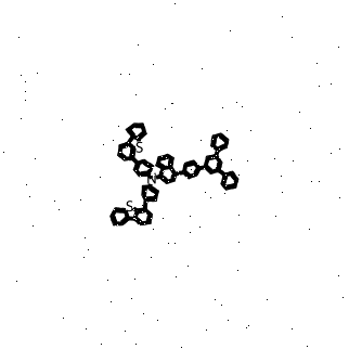 c1ccc(-c2cc(-c3ccccc3)cc(-c3ccc(-c4ccc(N(c5ccc(-c6cccc7c6sc6ccccc67)cc5)c5ccc(-c6cccc7c6sc6ccccc67)cc5)c5ccccc45)cc3)c2)cc1